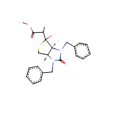 CCCOC(=O)C(CCC)C1(O)SC[C@@H]2[C@H]1N(Cc1ccccc1)C(=O)N2Cc1ccccc1